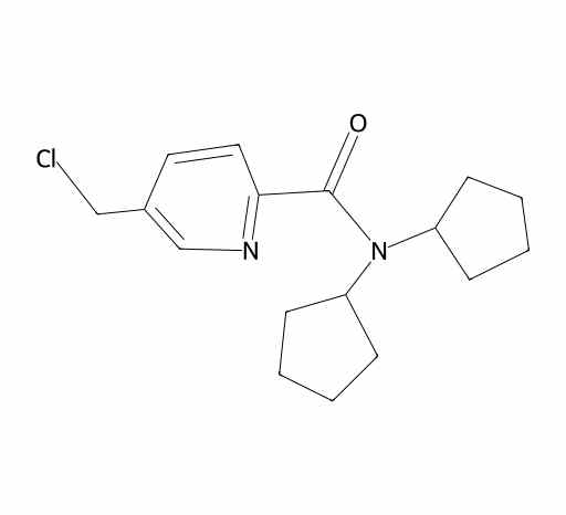 O=C(c1ccc(CCl)cn1)N(C1CCCC1)C1CCCC1